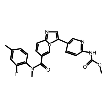 COC(=O)Nc1ccc(-c2cnc3ccc(C(=O)N(C)c4ccc(C)cc4F)cn23)cn1